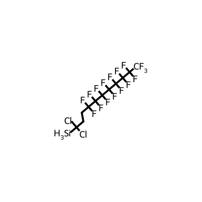 FC(F)(F)C(F)(F)C(F)(F)C(F)(F)C(F)(F)C(F)(F)C(F)(F)C(F)(F)CCC([SiH3])(Cl)Cl